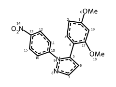 COc1ccc(-c2ccnn2-c2ccc([N+](=O)[O-])cc2)c(OC)c1